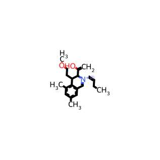 C=C(O)C1C(CCOC)c2c(C)cc(C)cc2C=[N+]1/C=C\CC